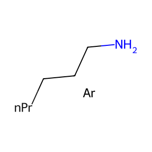 CCCCCCN.[Ar]